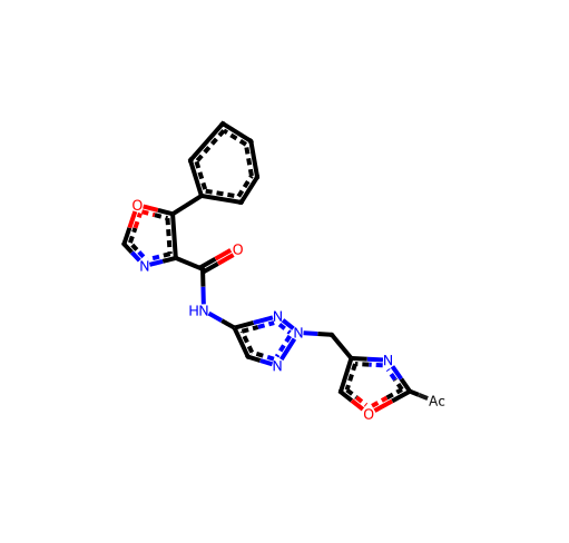 CC(=O)c1nc(Cn2ncc(NC(=O)c3ncoc3-c3ccccc3)n2)co1